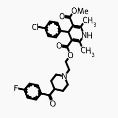 COC(=O)C1=C(C)NC(C)=C(C(=O)OCCN2CCC(C(=O)c3ccc(F)cc3)CC2)C1c1ccc(Cl)cc1